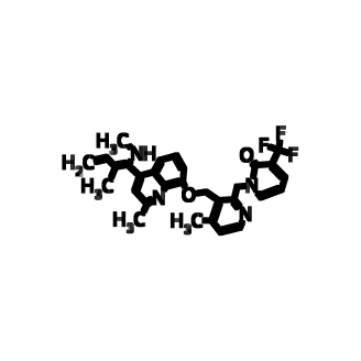 C=C/C(C)=C(\NC)c1cc(C)nc2c(OCc3c(C)ccnc3Cn3cccc(C(F)(F)F)c3=O)cccc12